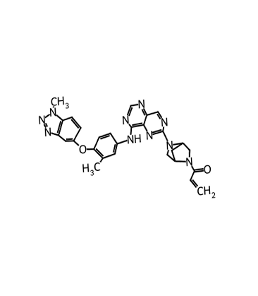 C=CC(=O)N1CC2CC1CN2c1ncc2ncnc(Nc3ccc(Oc4ccc5c(c4)nnn5C)c(C)c3)c2n1